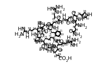 CC[C@H](C)[C@H](NC(=O)[C@H](Cc1ccccc1)NC(=O)[C@H](CCCNC(=N)N)NC(=O)CNC(=O)CNC(=O)[C@H](Cc1c[nH]cn1)NC(=O)[C@@H](N)CCC(N)=O)C(=O)N[C@@H](CCCNC(=N)N)C(=O)N[C@@H](CC(C)C)C(=O)N[C@@H](CCCCN)C(=O)N[C@@H](CC(C)C)C(=O)N[C@@H](CCC(=O)O)C(=O)N[C@@H](CCCNC(=N)N)C(=O)O